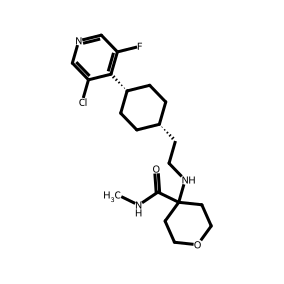 CNC(=O)C1(NCC[C@H]2CC[C@@H](c3c(F)cncc3Cl)CC2)CCOCC1